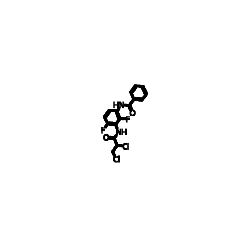 O=C(Nc1ccc(F)c(NC(=O)C(Cl)CCl)c1F)c1ccccc1